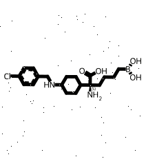 N[C@](CCCCB(O)O)(C(=O)O)C1CCC(NCc2ccc(Cl)cc2)CC1